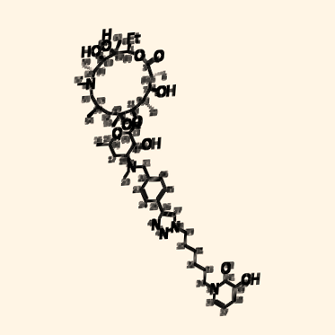 CC[C@H]1OC(=O)[C@H](C)[C@@H](O)[C@H](C)[C@@H](O[C@@H]2O[C@H](C)C[C@H](N(C)Cc3ccc(-c4cn(CCCCCCn5cccc(O)c5=O)nn4)cc3)[C@H]2O)[C@](C)(O)C[C@@H](C)CN(C)[C@H](C)[C@@H](O)[C@]1(C)O